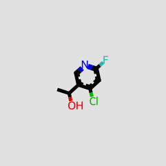 CC(O)c1cnc(F)cc1Cl